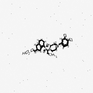 C=CC(N1CCN(c2ccc(Cl)c(Cl)c2)CC1)S(=O)(=O)c1cccc2c1CC(CC(=O)O)C2